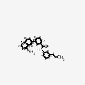 CCCc1cccc(NC(=O)c2cccc(-c3ccc4ncnc(N)c4c3)c2)c1